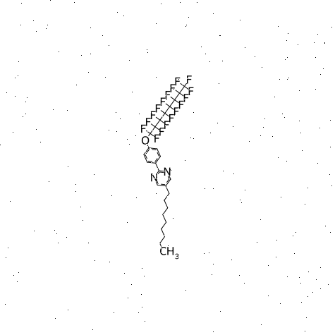 CCCCCCCCCc1cnc(-c2ccc(OC(F)(F)C(F)(F)C(F)(F)C(F)(F)C(F)(F)C(F)(F)C(F)(F)C(F)(F)F)cc2)nc1